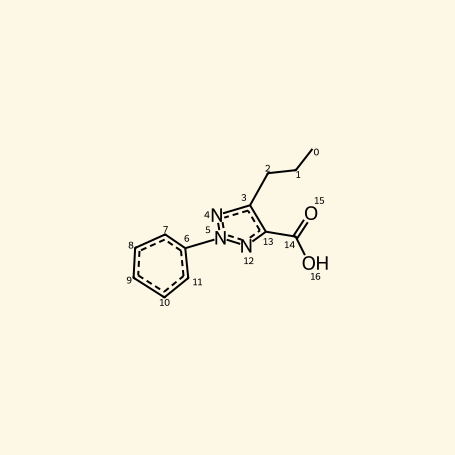 CCCc1nn(-c2ccccc2)nc1C(=O)O